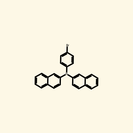 Brc1ccc(N(c2ccc3ccccc3c2)c2ccc3ccccc3c2)cc1